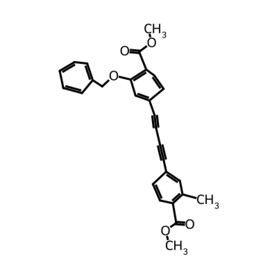 COC(=O)c1ccc(C#CC#Cc2ccc(C(=O)OC)c(OCc3ccccc3)c2)cc1C